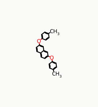 Cc1ccc(Oc2ccc3ccc(Oc4ccc(C)cc4)cc3c2)cc1